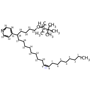 CCCCCCCC/C=C\CCCCCCCCC(CCCCO[Si](C)(C)C(C)(C)C)c1ccncc1